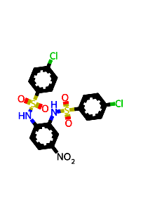 O=[N+]([O-])c1ccc(NS(=O)(=O)c2ccc(Cl)cc2)c(NS(=O)(=O)c2ccc(Cl)cc2)c1